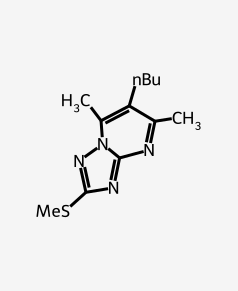 CCCCc1c(C)nc2nc(SC)nn2c1C